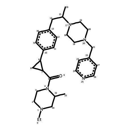 CCN1CCN(C(=O)C2CC2c2ccc(CC(C)N3CCN(Cc4ccncc4)CC3)cc2)C(C)C1